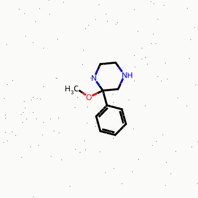 COC1(c2ccccc2)CNCC[N]1